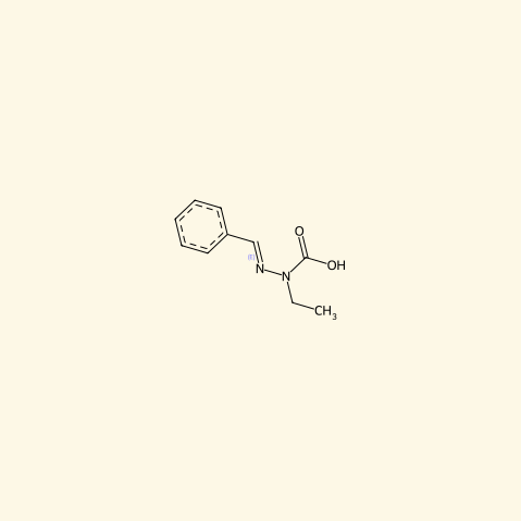 CCN(/N=C/c1ccccc1)C(=O)O